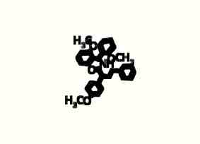 COc1ccc(C(CCc2ccccc2)C(=O)NC(c2ccccc2OC)c2ccccc2OC)cc1